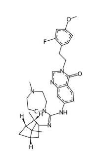 COc1ccc(CCn2cnc3cc(N/C(=N/C4C[C@@H]5C[C@H]([C@@H]4C)C5(C)C)N4CCCN(C)CC4)ccc3c2=O)c(F)c1